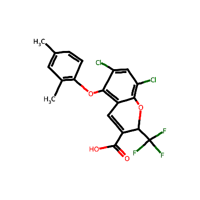 Cc1ccc(Oc2c(Cl)cc(Cl)c3c2C=C(C(=O)O)C(C(F)(F)F)O3)c(C)c1